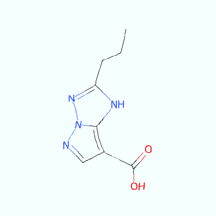 CCCc1nn2ncc(C(=O)O)c2[nH]1